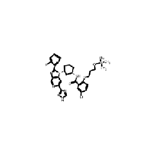 CC(C)(C)[Si](C)(C)OCCCOc1ccc(Cl)cc1C(=O)N[C@H]1CCC[C@@H](n2c(-c3ccccc3F)nc3cnc(-c4nc[nH]n4)cc32)C1